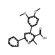 COc1ccc(-c2cc(-c3ccccc3)nc(C)c2C(=O)O)cc1OC